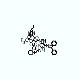 C=CCn1nnc([C@H]2O[C@@H](n3cnc4c(NCC(c5ccccc5)c5ccccc5)nc(NCCN5CCCCC5)nc43)[C@H](OC(=O)C(F)(F)F)[C@@H]2OC(=O)C(F)(F)F)n1